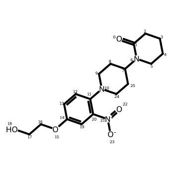 O=C1CCCCN1C1CCN(c2ccc(OCCO)cc2[N+](=O)[O-])CC1